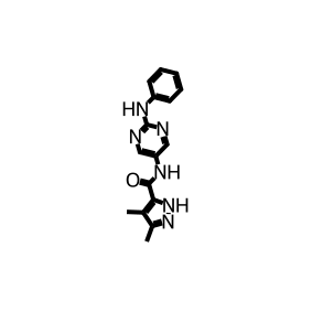 Cc1n[nH]c(C(=O)Nc2cnc(Nc3ccccc3)nc2)c1C